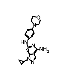 Nc1nc(Nc2ccc(N3CCOCC3)cc2)nc2c1cnn2C1CC1